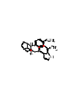 CCOC1C2CCC1C(c1ccc(C)cc1)N(Cc1c(C)cc(C)c3[nH]ccc13)C2